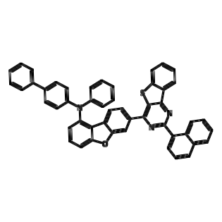 c1ccc(-c2ccc(N(c3ccccc3)c3cccc4oc5cc(-c6nc(-c7cccc8ccccc78)nc7c6sc6ccccc67)ccc5c34)cc2)cc1